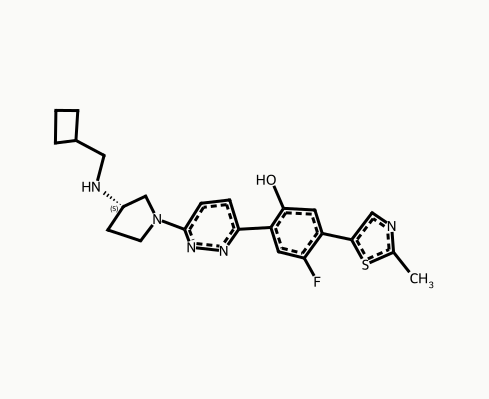 Cc1ncc(-c2cc(O)c(-c3ccc(N4CC[C@H](NCC5CCC5)C4)nn3)cc2F)s1